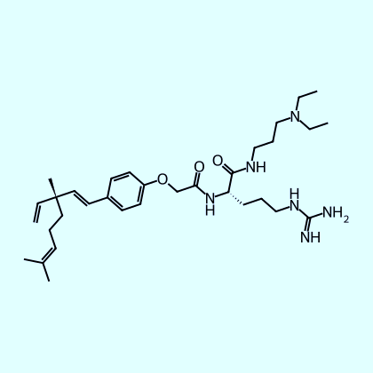 C=C[C@](C)(/C=C/c1ccc(OCC(=O)N[C@@H](CCCNC(=N)N)C(=O)NCCCN(CC)CC)cc1)CCC=C(C)C